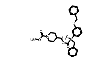 CC(C)(C)OC(=O)N1CCC(COC(=O)S(C)(Cc2ccccc2)c2cccc(OCc3ccccc3)c2)CC1